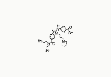 CC(C)CCN(CCC(C)C)C(=O)c1ccc2nc(Nc3ccc(C(=O)N(C)C)cc3)n(CCCN3CCCCC3)c2c1